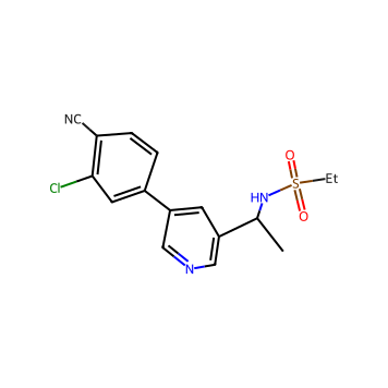 CCS(=O)(=O)NC(C)c1cncc(-c2ccc(C#N)c(Cl)c2)c1